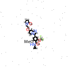 COc1cc(-c2cnc3cc(OCCN4CCCC4=O)ccn23)cc(OC(F)F)c1C(=O)NC1CC1